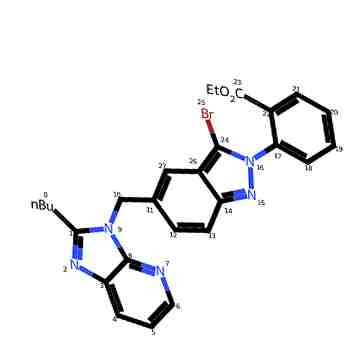 CCCCc1nc2cccnc2n1Cc1ccc2nn(-c3ccccc3C(=O)OCC)c(Br)c2c1